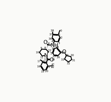 Cc1ccc(NC(=O)[C@H]2CCCN(C(=O)c3c(C)cccc3F)[C@H]2c2ccc(OC3CCCC3)cc2)cc1C